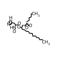 CCCCCCCCCCCCCC(C[C@@H]1OC(=O)[C@H]1CCCCCC)OC(=O)C(Cc1cnc[nH]1)NC=O